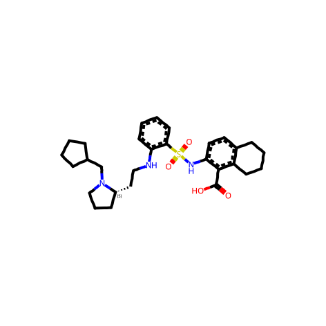 O=C(O)c1c(NS(=O)(=O)c2ccccc2NCC[C@@H]2CCCN2CC2CCCC2)ccc2c1CCCC2